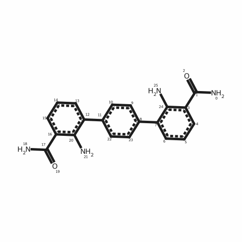 NC(=O)c1cccc(-c2ccc(-c3cccc(C(N)=O)c3N)cc2)c1N